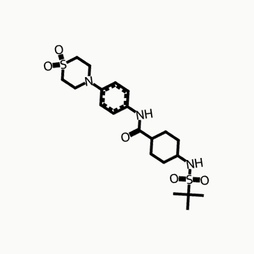 CC(C)(C)S(=O)(=O)NC1CCC(C(=O)Nc2ccc(N3CCS(=O)(=O)CC3)cc2)CC1